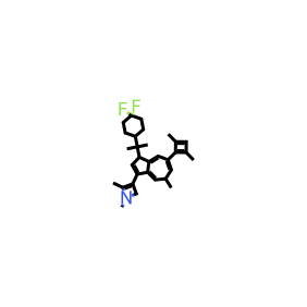 CC1=CC(C)=C1C1=CC(C)C=C2C(C3=C(C)N(C)C3)=CC(C(C)(C)C3CCC(F)(F)CC3)C2=C1